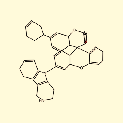 C1=Cc2c(c3c(n2C2=CC4OC5=CCCC=C5C5(c6ccccc6OC6C=C(C7CC=CCC7)C=CC65)C4C=C2)CCNC3)CC1